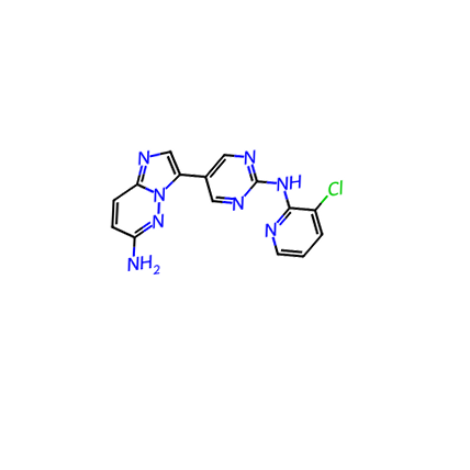 Nc1ccc2ncc(-c3cnc(Nc4ncccc4Cl)nc3)n2n1